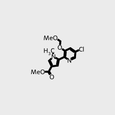 COCOc1cc(Cl)cnc1-c1cc(C(=O)OC)cn1C